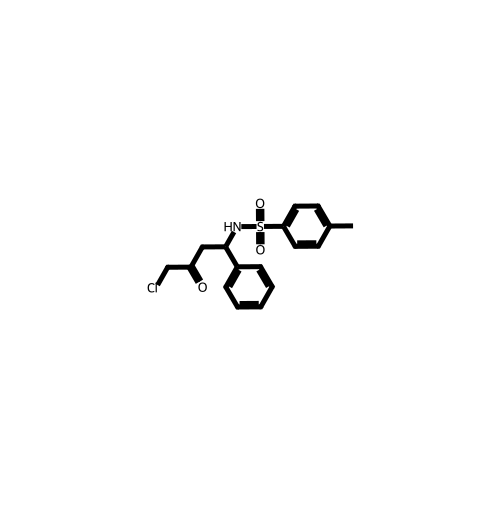 Cc1ccc(S(=O)(=O)NC(CC(=O)CCl)c2ccccc2)cc1